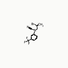 C=C(Br)CN(C#N)c1cccc(C(F)(F)F)c1